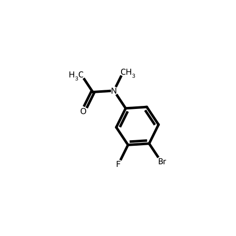 CC(=O)N(C)c1ccc(Br)c(F)c1